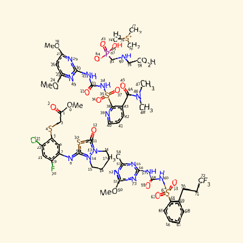 COC(=O)CSc1cc(/N=c2\sc(=O)n3n2CCCC3)c(F)cc1Cl.COc1cc(OC)nc(NC(=O)NS(=O)(=O)c2ncccc2C(=O)N(C)C)n1.COc1nc(C)nc(NC(=O)NS(=O)(=O)c2ccccc2CCC(F)(F)F)n1.C[S+](C)C.O=C(O)CNCP(=O)([O-])O